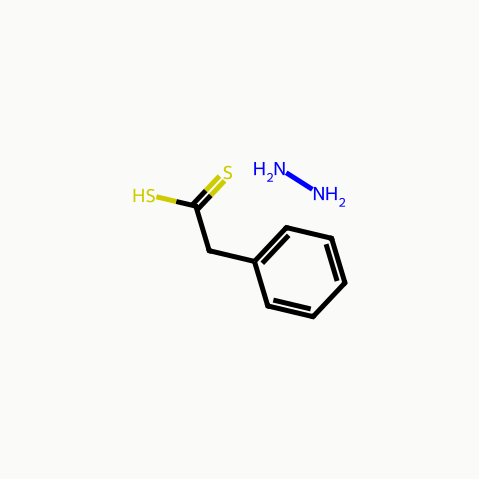 NN.S=C(S)Cc1ccccc1